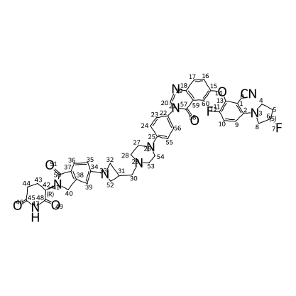 N#Cc1c(N2CC[C@H](F)C2)ccc(F)c1Oc1ccc2ncn(-c3ccc(N4CCN(CC5CN(c6ccc7c(c6)CN([C@@H]6CCC(=O)NC6=O)C7=O)C5)CC4)cc3)c(=O)c2c1